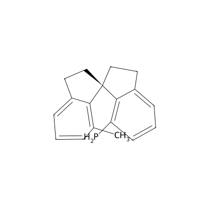 Cc1cccc2c1[C@]1(CC2)CCc2cccc(P)c21